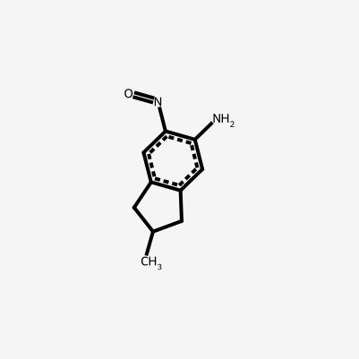 CC1Cc2cc(N)c(N=O)cc2C1